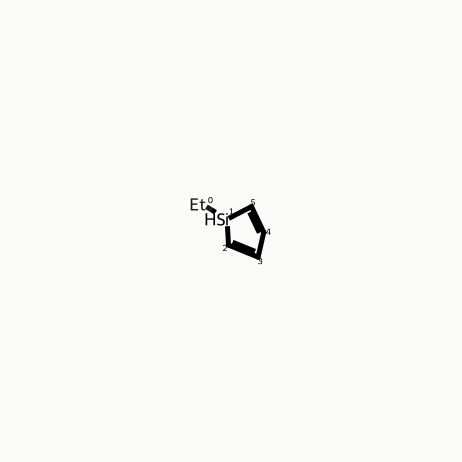 CC[SiH]1C=CC=C1